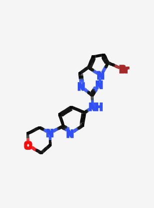 Brc1ccc2cnc(Nc3ccc(N4CCOCC4)nc3)nn12